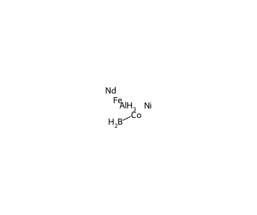 [AlH3].[BH2][Co].[Fe].[Nd].[Ni]